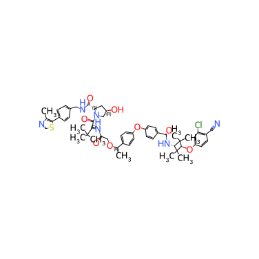 Cc1ncsc1-c1ccc(CNC(=O)[C@@H]2C[C@@H](O)CN2C(=O)[C@@H](NC(=O)CO[C@H](C)c2ccc(Oc3ccc(C(=O)N[C@H]4C(C)(C)[C@H](Oc5ccc(C#N)c(Cl)c5)C4(C)C)cc3)cc2)C(C)(C)C)cc1